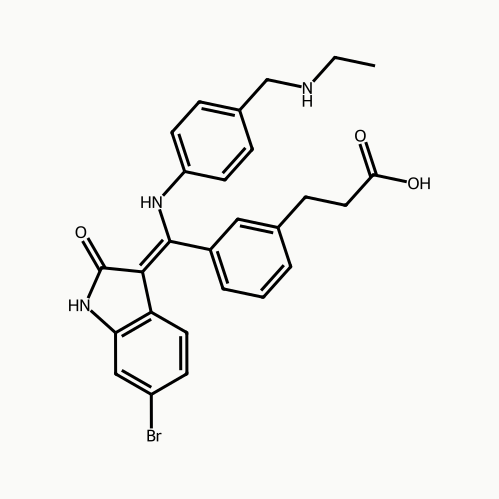 CCNCc1ccc(N/C(=C2\C(=O)Nc3cc(Br)ccc32)c2cccc(CCC(=O)O)c2)cc1